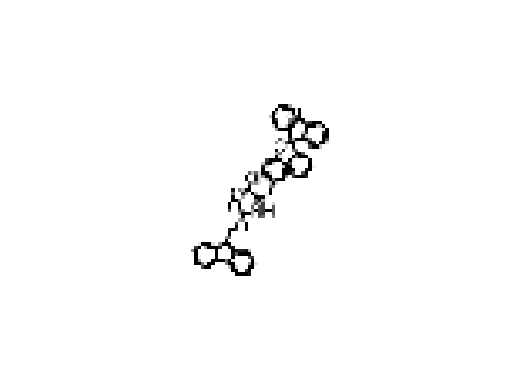 O=C(N[C@H](Cc1ccc(OC(c2ccccc2)(c2ccccc2)c2ccccc2Cl)cc1)C(=O)O)OCC1c2ccccc2-c2ccccc21